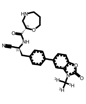 [2H]C([2H])([2H])n1c(=O)oc2ccc(-c3ccc(C[C@@H](C#N)NC(=O)[C@@H]4CNCCCO4)cc3)cc21